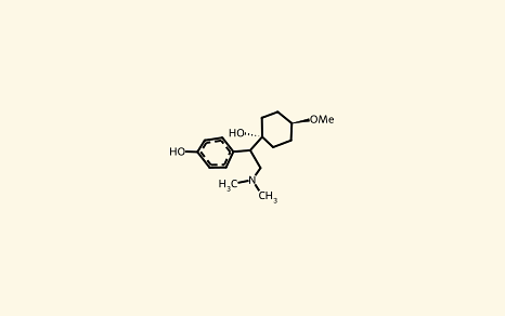 CO[C@H]1CC[C@@](O)(C(CN(C)C)c2ccc(O)cc2)CC1